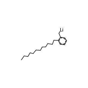 [Li][CH2]c1ccccc1CCCCCCCCCCCC